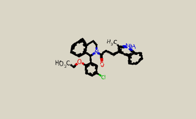 Cc1[nH]c2ccccc2c1CCC(=O)N1CCc2ccccc2C1c1cc(Cl)ccc1OCC(=O)O